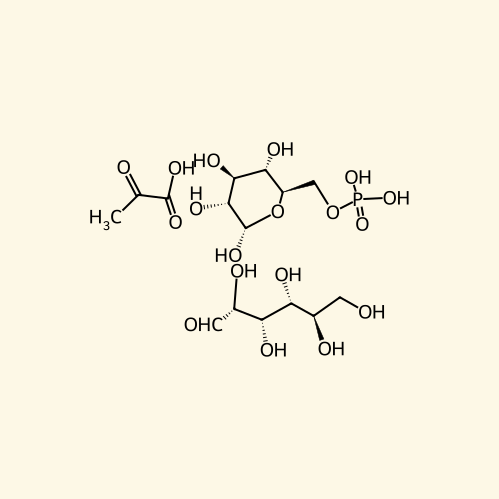 CC(=O)C(=O)O.O=C[C@H](O)[C@@H](O)[C@H](O)[C@H](O)CO.O=P(O)(O)OC[C@H]1O[C@H](O)[C@H](O)[C@@H](O)[C@@H]1O